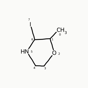 CC1OCCNC1I